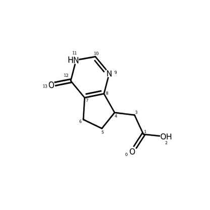 O=C(O)CC1CCc2c1nc[nH]c2=O